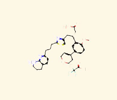 COc1ccc(C2=CCOCC2)cc1[C@H](CC(=O)O)Cc1csc(CCCc2ccc3c(n2)NCCC3)n1.O=C(O)C(F)(F)F